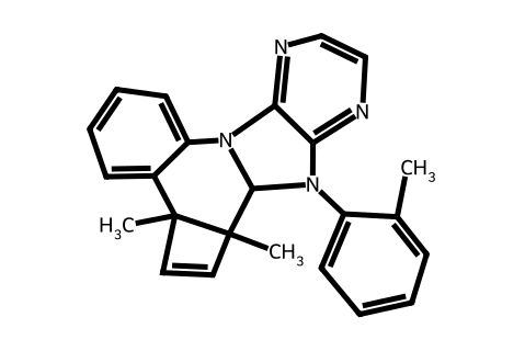 Cc1ccccc1N1c2nccnc2N2c3ccccc3C3(C)C=CC3(C)C12